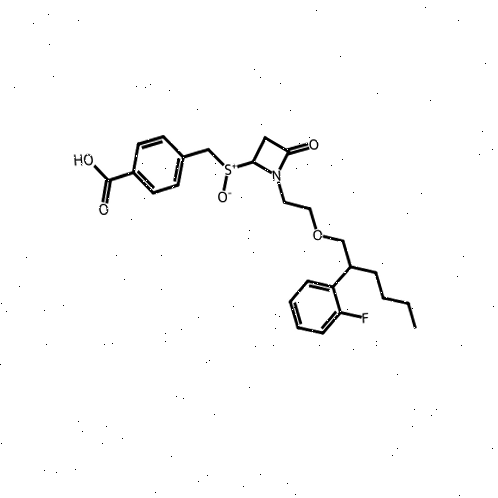 CCCCC(COCCN1C(=O)CC1[S+]([O-])Cc1ccc(C(=O)O)cc1)c1ccccc1F